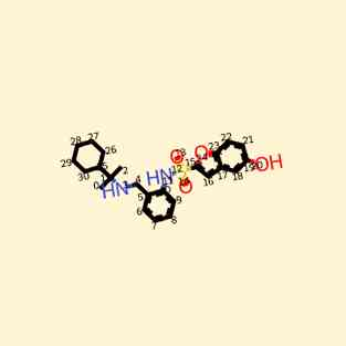 CC(C)(NCc1ccccc1NS(=O)(=O)c1cc2cc(O)ccc2o1)C1CCCCC1